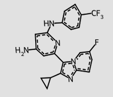 Nc1cc(Nc2ccc(C(F)(F)F)cc2)nc(-c2c(C3CC3)nc3ccc(F)cn23)c1